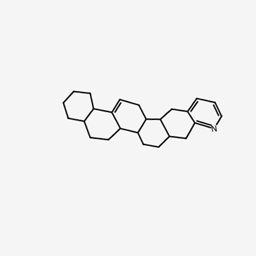 C1=C2C3CCCCC3CCC2C2CCC3Cc4ncccc4CC3C2C1